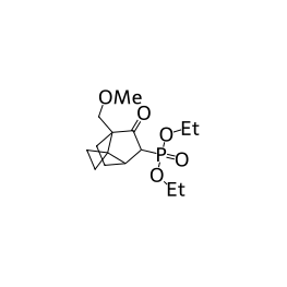 CCOP(=O)(OCC)C1C(=O)C2(COC)CCC1C21CC1